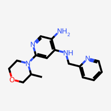 CC1COCCN1c1cc(NCc2ccccn2)c(N)cn1